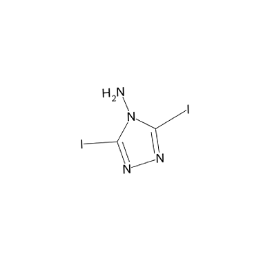 Nn1c(I)nnc1I